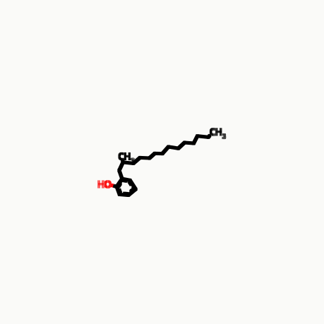 CCCCCCCCCCCCC(C)Cc1ccccc1O